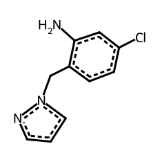 Nc1cc(Cl)ccc1Cn1cccn1